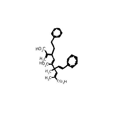 C=C(C(=O)O)C(C=C(C(=O)O)C(C)(C=Cc1ccccc1)C=C(C)C(=O)O)CCc1ccccc1